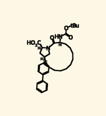 CC(C)(C)OC(=O)N[C@H]1CCCCCCCCCS[C@@]2(c3ccc(-c4ccccc4)cc3)C[C@@H](C(=O)O)N(C2)C1=O